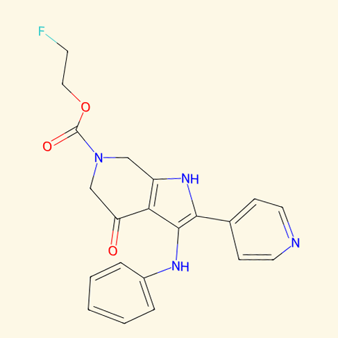 O=C1CN(C(=O)OCCF)Cc2[nH]c(-c3ccncc3)c(Nc3ccccc3)c21